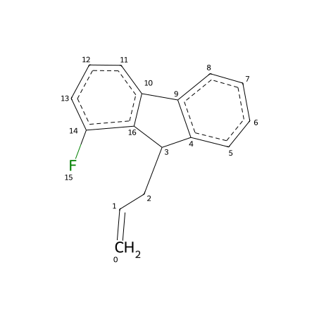 C=CCC1c2ccccc2-c2cccc(F)c21